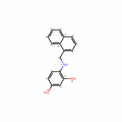 Oc1ccc(NCc2cccc3ccccc23)c(O)c1